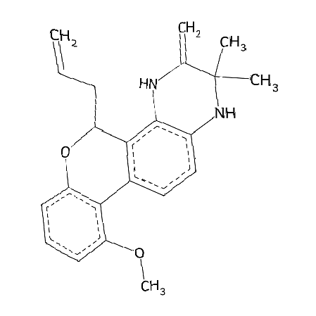 C=CCC1Oc2cccc(OC)c2-c2ccc3c(c21)NC(=C)C(C)(C)N3